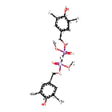 CCO[P](=O)(OCc1cc(C(C)(C)C)c(O)c(C(C)(C)C)c1)[Ni][P](=O)(OCC)OCc1cc(C(C)(C)C)c(O)c(C(C)(C)C)c1